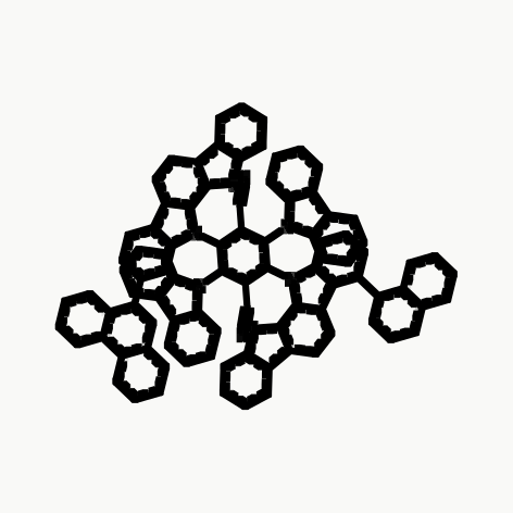 N#Cc1c(-n2c3ccccc3c3ccccc32)c(-n2c3cccc(-c4cccc5ccccc45)c3c3ccc4c5ccccc5sc4c32)c(C#N)c(-n2c3ccccc3c3ccccc32)c1-n1c2cc(-c3cc4ccccc4c4ccccc34)ccc2c2ccc3c4ccccc4sc3c21